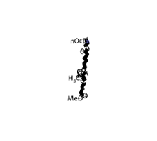 CCCCCCCC/C=C\COC(=O)CCCCCOCC(COCCCCC(=O)OC)N(C)C